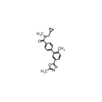 Cc1nnc(-c2ccc(C)c(-c3ccc(C(=O)N(C)CC4CC4)cc3)c2)o1